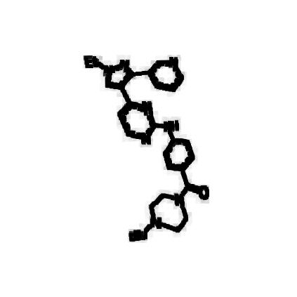 CCn1cc(-c2ccnc(Nc3ccc(C(=O)N4CCN(C(C)(C)C)CC4)cc3)n2)c(-c2cccnc2)n1